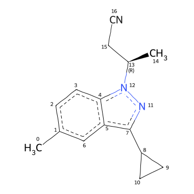 Cc1ccc2c(c1)c(C1CC1)nn2[C@H](C)CC#N